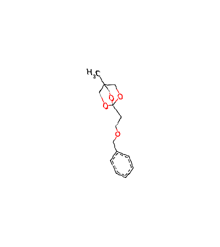 CC12COC(CCOCc3ccccc3)(OC1)OC2